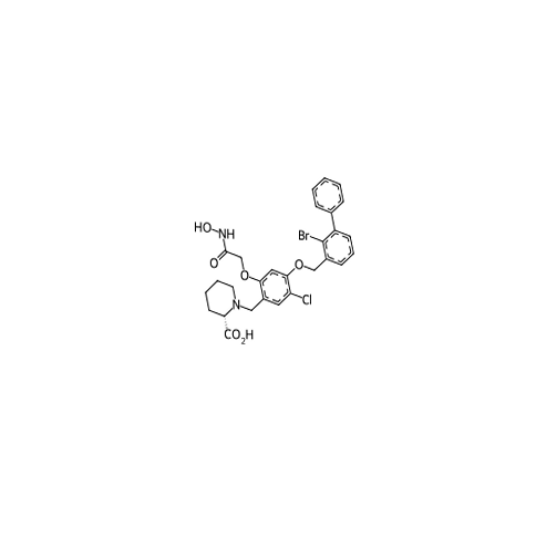 O=C(COc1cc(OCc2cccc(-c3ccccc3)c2Br)c(Cl)cc1CN1CCCC[C@H]1C(=O)O)NO